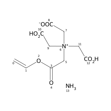 C=COC(=O)C[N+](CC(=O)[O-])(CC(=O)O)CC(=O)O.N